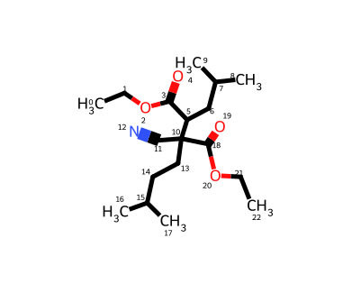 CCOC(=O)C(CC(C)C)C(C#N)(CCC(C)C)C(=O)OCC